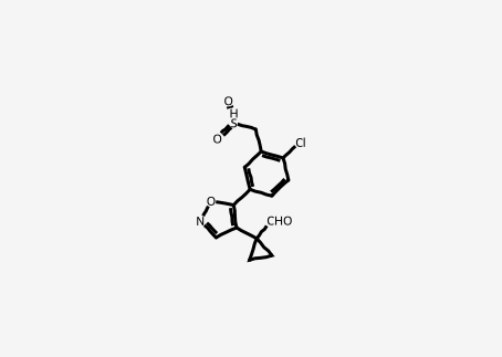 O=CC1(c2cnoc2-c2ccc(Cl)c(C[SH](=O)=O)c2)CC1